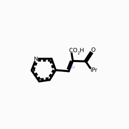 CC(C)C(=O)/C(=C/c1cccnc1)C(=O)O